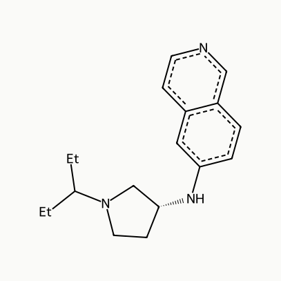 CCC(CC)N1CC[C@@H](Nc2ccc3cnccc3c2)C1